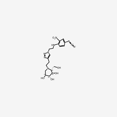 [N-]=[N+]=Nc1ccc(NCCn2cc(CCN3C[C@H](O)[C@@H](O)[C@H](O)[C@H]3CO)nn2)c([N+](=O)[O-])c1